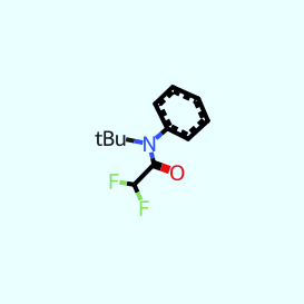 CC(C)(C)N(C(=O)C(F)F)c1ccccc1